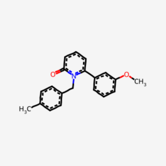 COc1cccc(-c2cccc(=O)n2Cc2ccc(C)cc2)c1